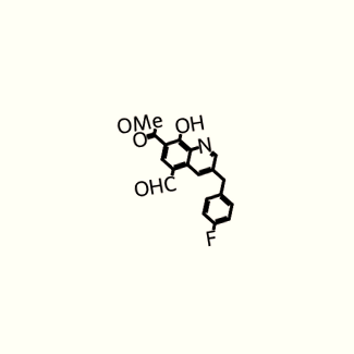 COC(=O)c1cc(C=O)c2cc(Cc3ccc(F)cc3)cnc2c1O